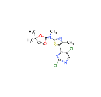 Cc1nc(N(C)C(=O)OC(C)(C)C)sc1-c1nc(Cl)ncc1Cl